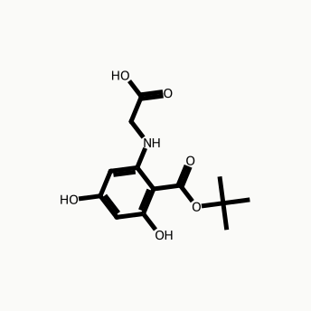 CC(C)(C)OC(=O)c1c(O)cc(O)cc1NCC(=O)O